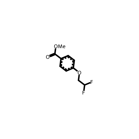 COC(=O)c1ccc(OCC(F)F)cc1